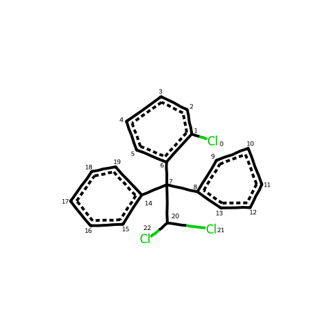 Clc1ccccc1C(c1ccccc1)(c1ccccc1)C(Cl)Cl